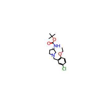 CCOc1ccc(Cl)cc1CN1CC[C@H](NC(=O)OC(C)(C)C)C1